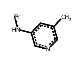 Cc1cncc(NC(C)C)c1